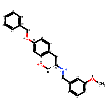 COc1cccc(CN[C@H](CO)Cc2ccc(OCc3ccccc3)cc2)c1